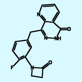 O=C1CCN1c1cc(Cc2n[nH]c(=O)c3cccnc23)ccc1F